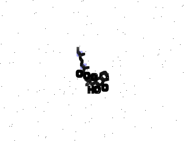 C/C=C(\C)CC/C=C(\C)C(=O)OCC(C)(C)CC1=C(O)C(=O)c2ccccc2C1=O